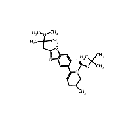 CC1CC=C(c2ccc3sc(CC(C)(C)N(C)C)nc3c2)N(C(=O)OC(C)(C)C)C1